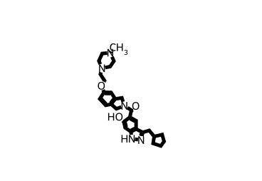 CN1CCN(CCOc2ccc3c(c2)CN(C(=O)c2cc4c(CC5CCCC5)n[nH]c4cc2O)C3)CC1